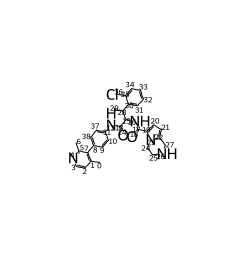 Cc1ccnc(C)c1-c1ccc(NC(=O)C(NC(=O)c2ccc3n2CCNC3)C(C)c2ccccc2Cl)cc1